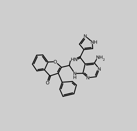 CC(Nc1ncnc(N)c1C(=N)c1cn[nH]c1)c1oc2ccccc2c(=O)c1-c1ccccc1